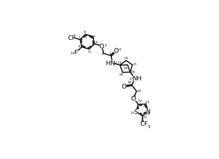 O=C(COc1ccc(Cl)c(F)c1)NC12CCC(NC(=O)COc3cnc(C(F)(F)F)s3)(C1)C2